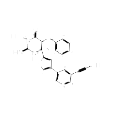 CC#Cc1cncc(-c2csc([C@@]3(C)NC(=N)N(C)C(=O)C3Sc3ccccc3)c2)c1